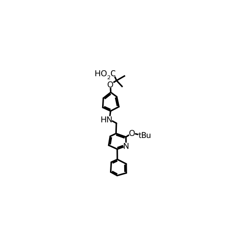 CC(C)(C)Oc1nc(-c2ccccc2)ccc1CNc1ccc(OC(C)(C)C(=O)O)cc1